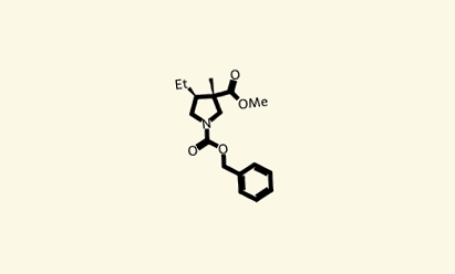 CC[C@@H]1CN(C(=O)OCc2ccccc2)C[C@@]1(C)C(=O)OC